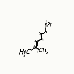 CCCCCC[C]=C(C)C